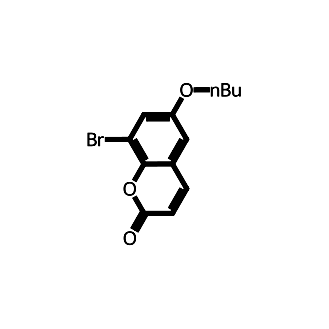 CCCCOc1cc(Br)c2oc(=O)ccc2c1